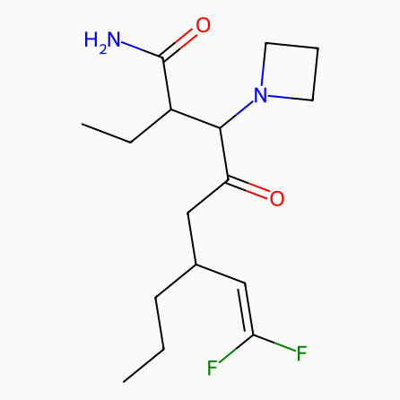 CCCC(C=C(F)F)CC(=O)C(C(CC)C(N)=O)N1CCC1